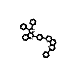 c1ccc(-c2ccc3ccc4ccc(-c5ccc(-c6nc7ccccc7c7c(-c8ccccc8)c(-c8ccccc8)oc67)cc5)nc4c3n2)cc1